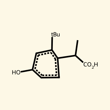 CC(C(=O)O)c1ccc(O)cc1C(C)(C)C